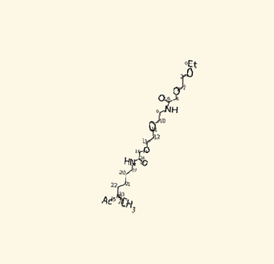 CCOCCOCC(=O)NCCOCCOCC(=O)NCCCC[C@H](C)C(C)=O